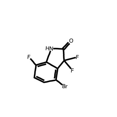 O=C1Nc2c(F)ccc(Br)c2C1(F)F